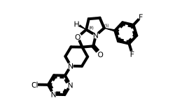 O=C1N2[C@@H](CC[C@H]2c2cc(F)cc(F)c2)OC12CCN(c1cc(Cl)ncn1)CC2